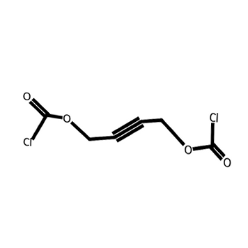 O=C(Cl)OCC#CCOC(=O)Cl